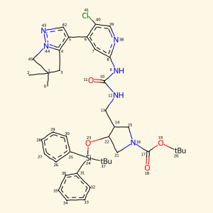 CC1(C)Cc2c(-c3cc(NC(=O)NCC4CN(C(=O)OC(C)(C)C)CC4O[Si](c4ccccc4)(c4ccccc4)C(C)(C)C)ncc3Cl)cnn2C1